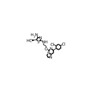 C#Cc1sc(NCCOc2nc(-c3ccc(Cl)cc3Cl)cc3nccn23)nc1N